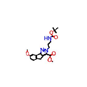 COC(=O)c1c2c(nn1CCCNC(=O)OC(C)(C)C)-c1cc(OC)ccc1C2